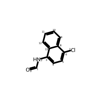 O=CNc1ccc(Cl)c2ccccc12